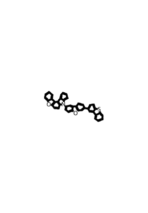 c1ccc2c(c1)oc1ccc3c(c4ccccc4n3-c3ccc4oc5cc(-c6ccc7sc8ccccc8c7c6)ccc5c4c3)c12